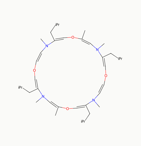 CC1=CN(C)C(CC(C)C)=COC=CN(C)C(CC(C)C)=COC(C)=CN(C)C(CC(C)C)=COC=CN(C)C(CC(C)C)=CO1